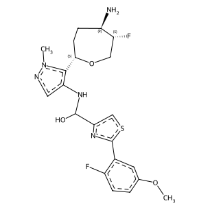 COc1ccc(F)c(-c2nc(C(O)Nc3cnn(C)c3[C@@H]3CC[C@@H](N)[C@H](F)CO3)cs2)c1